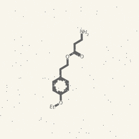 CCOc1ccc(CCOC(=O)CCN)cc1